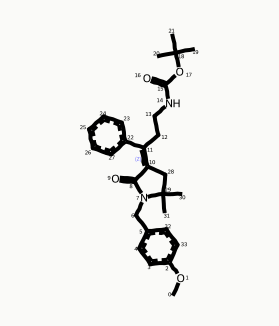 COc1ccc(CN2C(=O)/C(=C(/CCNC(=O)OC(C)(C)C)c3ccccc3)CC2(C)C)cc1